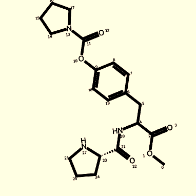 COC(=O)C(Cc1ccc(OC(=O)N2CCCC2)cc1)NC(=O)[C@@H]1CCCN1